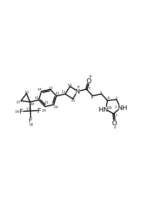 O=C1NCC(CCC(=O)N2CC(c3ccc(C4(C(F)(F)F)CC4)cc3)C2)N1